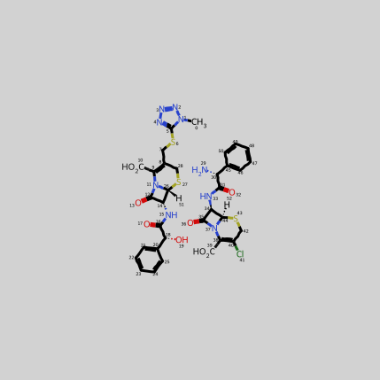 Cn1nnnc1SCC1=C(C(=O)O)N2C(=O)[C@@H](NC(=O)[C@H](O)c3ccccc3)[C@H]2SC1.N[C@@H](C(=O)N[C@@H]1C(=O)N2C(C(=O)O)=C(Cl)CS[C@H]12)c1ccccc1